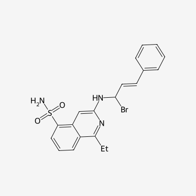 CCc1nc(NC(Br)C=Cc2ccccc2)cc2c(S(N)(=O)=O)cccc12